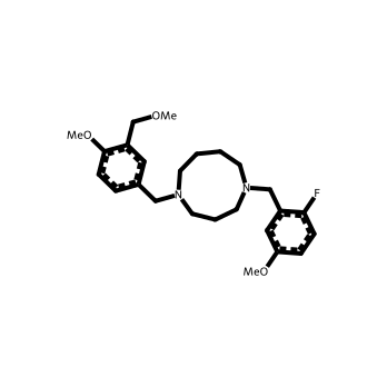 COCc1cc(CN2CCCCN(Cc3cc(OC)ccc3F)CCC2)ccc1OC